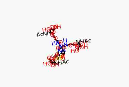 CC(=O)NC1C(OCCOCCNC(=O)CN(CC(=O)NCCOCCOC2OC(CO)C(O)C(O)C2NC(C)=O)C(Cc2ccc(OP(C)(=O)S)cc2)C(=O)NCCOCCOC2OC(CO)C(O)C(O)C2NC(C)=O)OC(CO)C(O)C1O